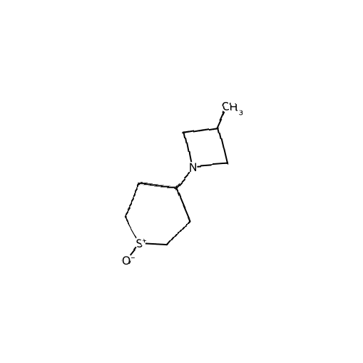 CC1CN(C2CC[S+]([O-])CC2)C1